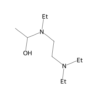 CCN(CC)CCN(CC)C(C)O